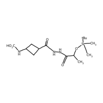 CC(O[Si](C)(C)C(C)(C)C)C(=O)NNC(=O)C1CC(NC(=O)O)C1